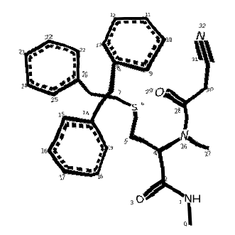 CNC(=O)C(CSC(c1ccccc1)(c1ccccc1)c1ccccc1)N(C)C(=O)CC#N